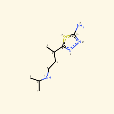 CC(C)NCCC(C)c1nnc(N)s1